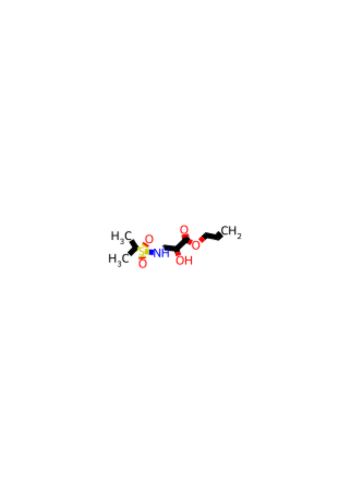 C=CCOC(=O)C(O)CNS(=O)(=O)C(C)C